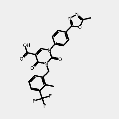 Cc1nnc(-c2ccc(-n3cc(C(=O)O)c(=O)n(Cc4cccc(C(F)(F)F)c4C)c3=O)cc2)o1